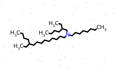 CCCCCCCCN(CCCCCCCCCC(CC)CCCC)CC(CC)CCCC